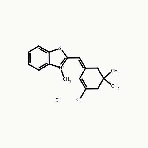 C[n+]1c(C=C2C=C(Cl)CC(C)(C)C2)sc2ccccc21.[Cl-]